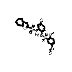 COc1ccc(OC=O)cc1S(=O)(=O)Nc1ccc(Cl)cc1NS(=O)(=O)c1cc2ccccc2o1